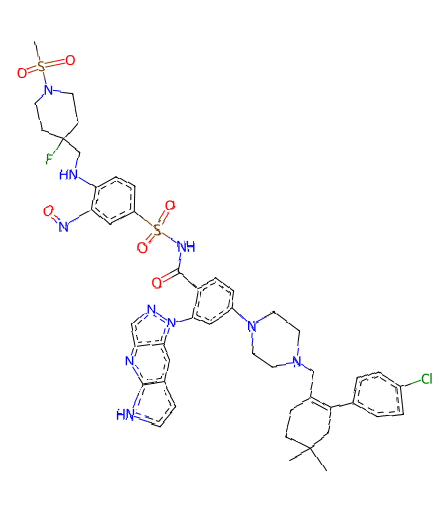 CC1(C)CCC(CN2CCN(c3ccc(C(=O)NS(=O)(=O)c4ccc(NCC5(F)CCN(S(C)(=O)=O)CC5)c(N=O)c4)c(-n4ncc5nc6[nH]ccc6cc54)c3)CC2)=C(c2ccc(Cl)cc2)C1